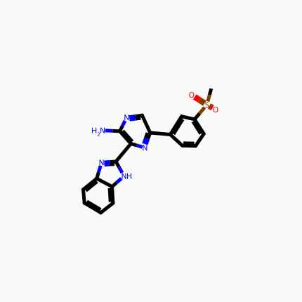 CS(=O)(=O)c1cccc(-c2cnc(N)c(-c3nc4ccccc4[nH]3)n2)c1